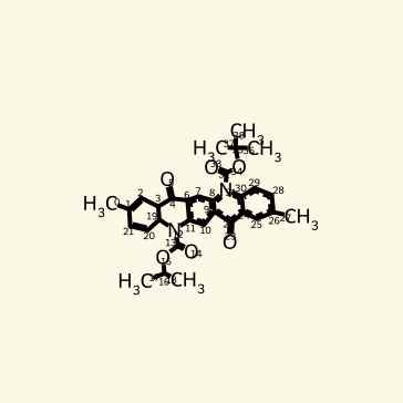 CC1=CC2C(=O)c3cc4c(cc3N(C(=O)OC(C)C)C2C=C1)c(=O)c1cc(C)ccc1n4C(=O)OC(C)(C)C